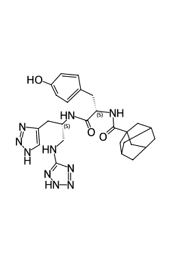 O=C(N[C@H](CNc1nn[nH]n1)Cc1c[nH]nn1)[C@H](Cc1ccc(O)cc1)NC(=O)C12CC3CC(CC(C3)C1)C2